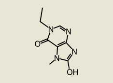 CCn1cnc2nc(O)n(C)c2c1=O